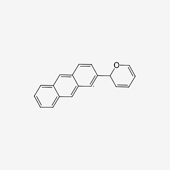 [c]1c(C2C=CC=CO2)ccc2cc3ccccc3cc12